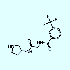 O=C(CNC(=O)c1cccc(C(F)(F)F)c1)N[C@H]1CCNC1